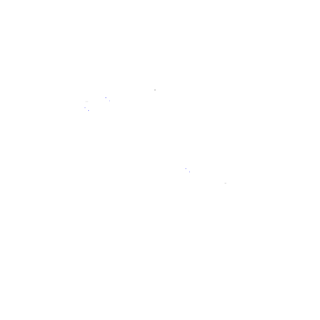 c1cc(CNC2CCCCC2)cc(-c2cc[nH]n2)c1